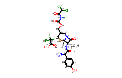 NC(C(=O)N[C@]1(C(=O)O)C(=O)N2C=C(COC(=O)N(Cl)C(=O)C(Cl)Cl)CS[C@H]21)c1ccc(O)cc1.O=C(O)C(F)(F)F